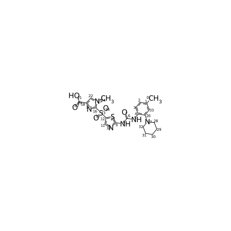 Cc1ccc(NC(=O)Nc2ncc(S(=O)(=O)c3nc(C(=O)O)cn3C)s2)c(N2CCCCC2)c1